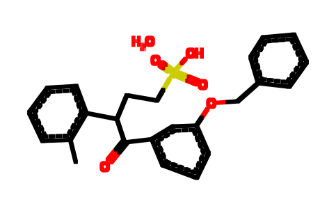 Cc1ccccc1C(CCS(=O)(=O)O)C(=O)c1cccc(OCc2ccccc2)c1.O